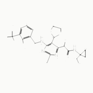 Cc1nc(NCc2cccc(C(C)(F)F)c2F)c(C2OCCO2)c(C(F)C(=O)NC2(CF)CC2)n1